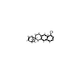 Clc1cccc2cc3c(cc12)CCC1(C3)CC2C=CC1C2